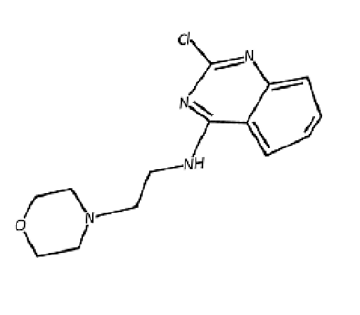 Clc1nc(NCCN2CCOCC2)c2ccccc2n1